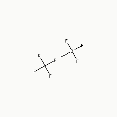 F[B-](F)(F)F.F[C](F)(F)[K]